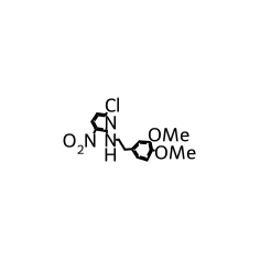 COc1ccc(CCNc2nc(Cl)ccc2[N+](=O)[O-])cc1OC